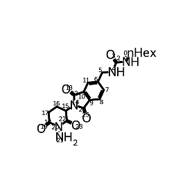 CCCCCCNC(=O)NCc1ccc2c(c1)C(=O)N(C1CCC(=O)N(N)C1=O)C2=O